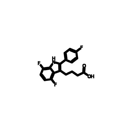 O=C(O)CCCc1c(-c2ccc(F)cc2)[nH]c2c(F)ccc(F)c12